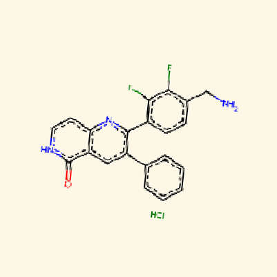 Cl.NCc1ccc(-c2nc3cc[nH]c(=O)c3cc2-c2ccccc2)c(F)c1F